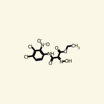 CCOC(=O)/C(=N\O)C(=O)Nc1ccc(Cl)c(Cl)c1[N+](=O)[O-]